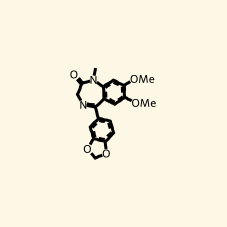 COc1cc2c(cc1OC)N(C)C(=O)CN=C2c1ccc2c(c1)OCO2